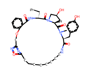 CC(C)C[C@H]1NC(=O)c2ccccc2OCc2noc(n2)CCCCCCCCNC(=O)[C@H](Cc2ccc(O)cc2)N(C)C(=O)[C@H]2C[C@H](O)CN2C1=O